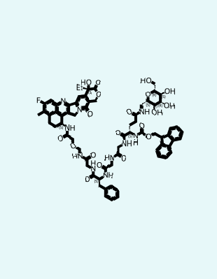 CC[C@@]1(O)C(=O)OCc2c1cc1n(c2=O)Cc2c-1nc1cc(F)c(C)c3c1c2[C@@H](NC(=O)COCNC(=O)CNC(=O)[C@H](Cc1ccccc1)NC(=O)CNC(=O)CNC(=O)[C@H](CCC(=O)NC[C@@H]1O[C@H](CO)[C@@H](O)[C@H](O)[C@H]1O)NC(=O)OCC1c2ccccc2-c2ccccc21)CC3